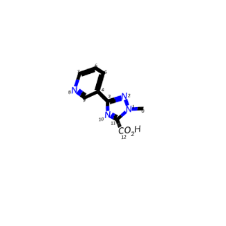 Cn1nc(-c2cccnc2)nc1C(=O)O